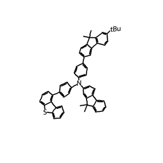 CC(C)(C)c1ccc2c(c1)C(C)(C)c1ccc(-c3ccc(N(c4ccc(-c5cccc6sc7ccccc7c56)cc4)c4ccc5c(c4)C(C)(C)c4ccccc4-5)cc3)cc1-2